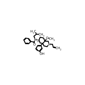 C=CCN1CCC2(c3cccc(O)c3)C[C@@H](N(CC(C)C)C(=O)c3ccccc3)CCC2(OC)C1